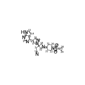 N#CCC1(n2cc(-c3ncnc4[nH]ccc34)cn2)CN(C2CCN(S(=O)(=O)C3CC3)CC2)C1